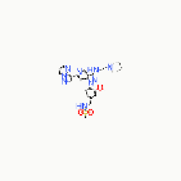 COc1cc(CNS(C)(=O)=O)ccc1-n1nc(NCCN2CCCCC2)c2cnc(-c3cnn4cccnc34)cc21